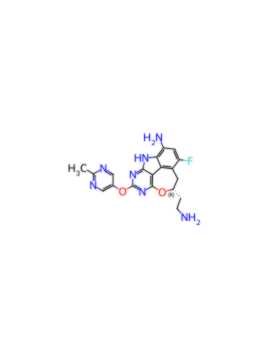 Cc1ncc(Oc2nc3c4c(n2)[nH]c2c(N)cc(F)c(c24)C[C@H](CCN)O3)cn1